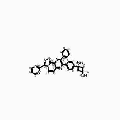 C[C@]1(O)C[C@@](N)(c2ccc(-c3nc4ccn5c(-c6ncccn6)nnc5c4nc3-c3ccccc3)cc2)C1